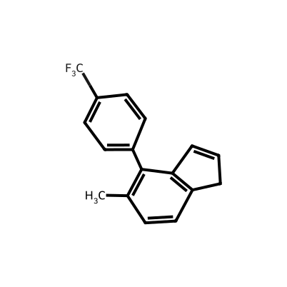 Cc1ccc2c(c1-c1ccc(C(F)(F)F)cc1)C=CC2